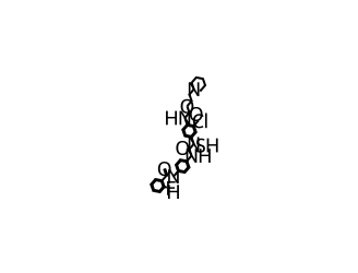 O=C(Nc1ccc(N(S)C(=O)Nc2ccc(NC(=O)c3ccccc3F)cc2)cc1Cl)OCCN1CCCCC1